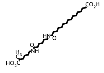 C[C@@H](CCCCNC(=O)CCCCCNC(=O)CCCCCCCCCCCCCCC(=O)O)C(=O)O